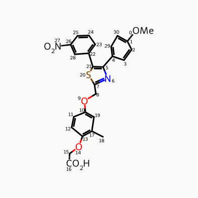 COc1ccc(-c2nc(COc3ccc(OCC(=O)O)c(C)c3)sc2-c2cccc([N+](=O)[O-])c2)cc1